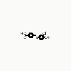 O=C(O)c1ccc(CSc2ccc(O)c(Cl)c2)cc1